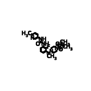 Cc1ccc(NC(=O)Nc2cccc([C@H](C)N3CCN(S(=O)(=O)N(C)C)CC3)c2F)cn1